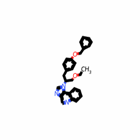 CCOCC(Cc1ccc(OCc2ccccc2)cc1)n1cnc2cnc3ccccc3c21